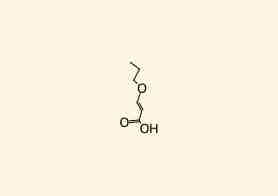 CCCOC=CC(=O)O